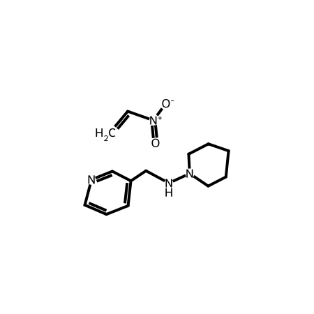 C=C[N+](=O)[O-].c1cncc(CNN2CCCCC2)c1